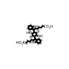 O=C(O)CCCCc1[nH]c2ccccc2c1C1=C(O)C(=O)C(c2c(CCCCC(=O)O)[nH]c3ccccc23)=C(O)C1=O